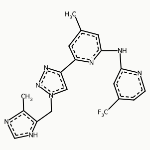 Cc1cc(Nc2cc(C(F)(F)F)ccn2)nc(-c2cn(Cc3[nH]cnc3C)nn2)c1